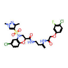 C=C(CCNC(=O)C1CN(S(=O)(=O)c2cn(C)nc2C)c2cc(Cl)ccc2O1)NC(=O)COc1ccc(Cl)c(F)c1